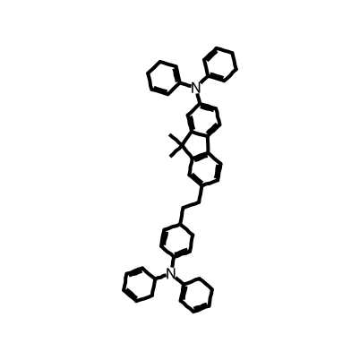 CC1(C)c2cc(CCC3C=CC(N(C4=CC=CCC4)C4C=CC=CC4)=CC3)ccc2-c2ccc(N(C3=CCCC=C3)C3=CCCC=C3)cc21